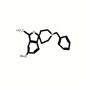 COc1ccc2c(c1)C(C(=O)O)OC21CCN(Cc2ccccc2)CC1